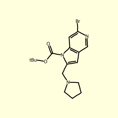 CC(C)(C)OC(=O)n1c(CN2CCCC2)cc2cnc(Br)cc21